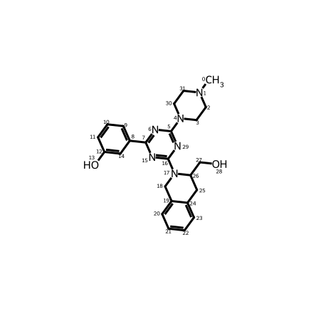 CN1CCN(c2nc(-c3cccc(O)c3)nc(N3Cc4ccccc4CC3CO)n2)CC1